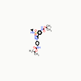 CC(C)OC(=O)Nc1ccc(-c2cn([C@H]3CC[C@H](NC(=O)OC(C)C)CC3)nn2)c(S(=O)(=O)NC2CC2)c1